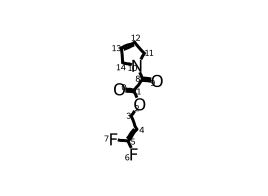 O=C(OCC=C(F)F)C(=O)N1CC=CC1